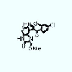 COCc1nc2c(cnc3[nH]cc(C(=O)c4ccc(Cl)cc4Cl)c32)[nH]c1=O